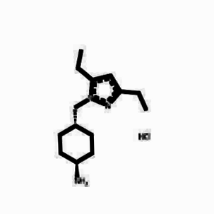 CCc1cc(CC)n(C[C@H]2CC[C@H](N)CC2)n1.Cl